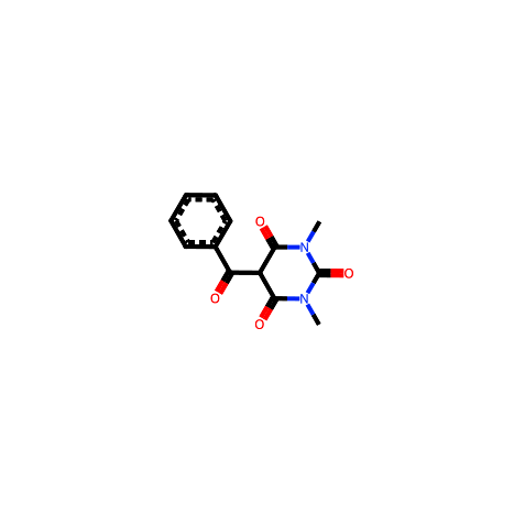 CN1C(=O)C(C(=O)c2ccccc2)C(=O)N(C)C1=O